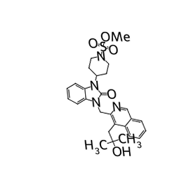 COS(=O)(=O)N1CCC(n2c(=O)n(Cc3ncc4ccccc4c3CC(C)(C)O)c3ccccc32)CC1